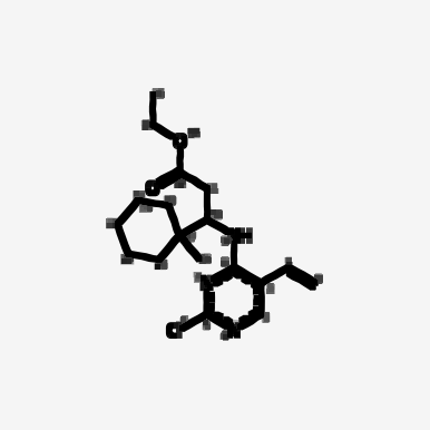 C=Cc1cnc(Cl)nc1NC(CC(=O)OCC)C1(C)CCCCC1